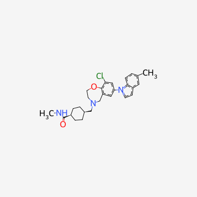 CNC(=O)[C@H]1CC[C@@H](CN2CCOc3c(Cl)cc(-n4ccc5cc(C)ccc54)cc3C2)CC1